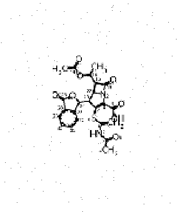 C=C(NC(C)=O)SC1=C(C(=O)O)N2C(=O)C(C(C)OC(C)=O)C2C1C1OC(=O)c2ccccc21